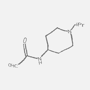 CC(C)N1CCC(NC(=O)C=O)CC1